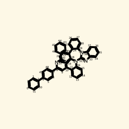 c1ccc(-c2ccc(-c3cc(-c4ccccc4N4c5ccccc5-c5ccccc5-n5c4nc4ccccc45)nc(-c4ccccc4)n3)cc2)cc1